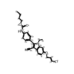 CCCCOC(=O)Nc1ccc(-c2c(C#N)c3ccc(OCCCCl)cc3n2CC)cc1